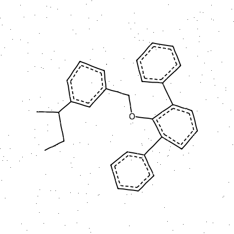 CCC(C)c1cccc(COc2c(-c3ccccc3)cccc2-c2ccccc2)c1